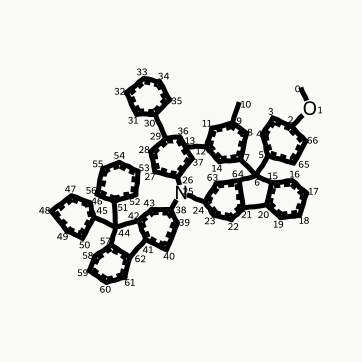 COc1ccc(C2(c3cc(C)cc(C)c3)c3ccccc3-c3ccc(N(c4ccc(-c5ccccc5)cc4)c4ccc5c(c4)C(c4ccccc4)(c4ccccc4)c4ccccc4-5)cc32)cc1